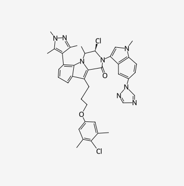 Cc1cc(OCCCc2c3n(c4c(-c5c(C)nn(C)c5C)cccc24)C(C)[C@@H](Cl)N(c2cn(C)c4ccc(-n5cncn5)cc24)C3=O)cc(C)c1Cl